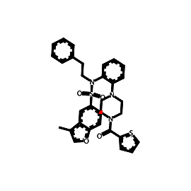 Cc1coc2ccc(S(=O)(=O)N(CCc3ccccc3)c3ccccc3N3CCN(C(=O)c4cccs4)CC3)cc12